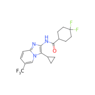 O=C(Nc1nc2ccc(C(F)(F)F)cn2c1C1CC1)C1CCC(F)(F)CC1